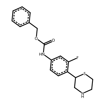 O=C(Nc1ccc(C2CNCCS2)c(F)c1)OCc1ccccc1